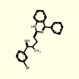 CC(C/C=C1\N=C(c2ccccc2)c2ccccc2N1)C(=N)c1cccc(Br)c1